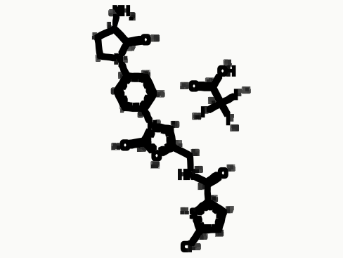 N[C@@H]1CCN(c2ccc(-n3cc(CNC(=O)c4ccc(Cl)s4)oc3=O)cc2)C1=O.O=C(O)C(F)(F)F